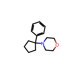 [c]1ccc(C2(N3CCOCC3)CCCC2)cc1